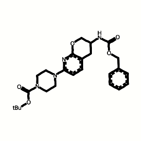 CC(C)(C)OC(=O)N1CCN(c2ccc3c(n2)OCC(NC(=O)OCc2ccccc2)C3)CC1